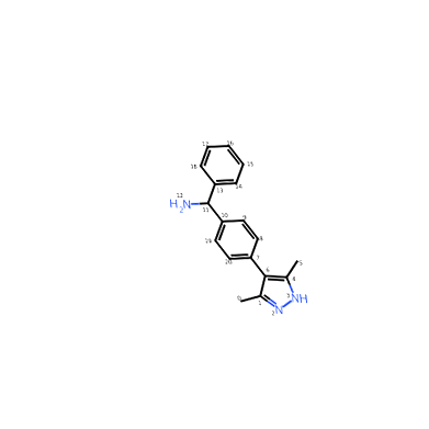 Cc1n[nH]c(C)c1-c1ccc(C(N)c2ccccc2)cc1